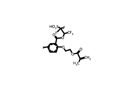 C=C(C)C(=O)OCCOc1ccc(I)cc1C(=O)OC(C(F)(F)F)C(F)(F)S(=O)(=O)O